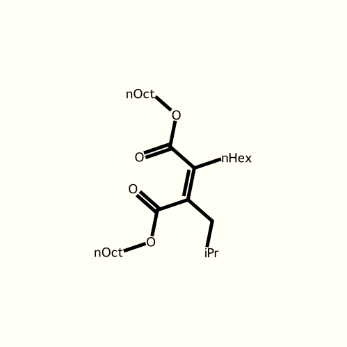 CCCCCCCCOC(=O)/C(CCCCCC)=C(/CC(C)C)C(=O)OCCCCCCCC